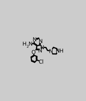 Nc1ncnc2c1c(Oc1cccc(Cl)c1)nn2CCN1CCNCC1